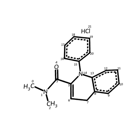 CN(C)C(=O)C1=CCc2ccccc2N1c1ccccc1.Cl